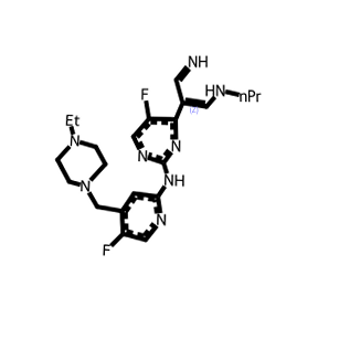 CCCN/C=C(\C=N)c1nc(Nc2cc(CN3CCN(CC)CC3)c(F)cn2)ncc1F